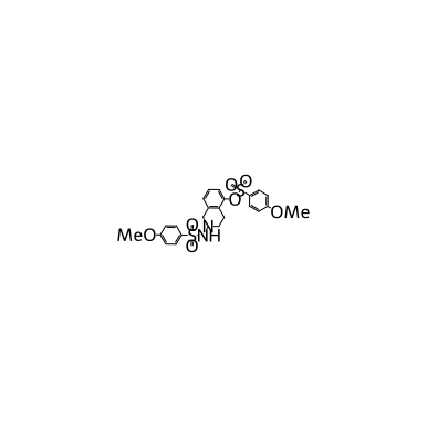 COc1ccc(S(=O)(=O)NN2CCc3c(cccc3OS(=O)(=O)c3ccc(OC)cc3)C2)cc1